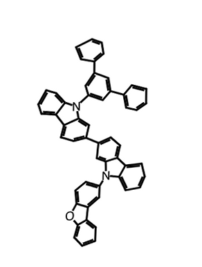 c1ccc(-c2cc(-c3ccccc3)cc(-n3c4ccccc4c4ccc(-c5ccc6c7ccccc7n(-c7ccc8oc9ccccc9c8c7)c6c5)cc43)c2)cc1